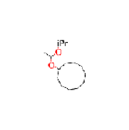 CC(C)OC(C)OC1CCCCCCCCC1